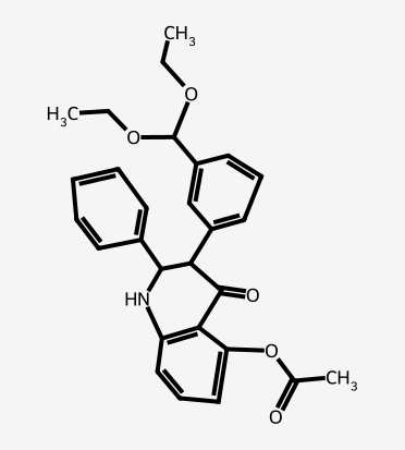 CCOC(OCC)c1cccc(C2C(=O)c3c(cccc3OC(C)=O)NC2c2ccccc2)c1